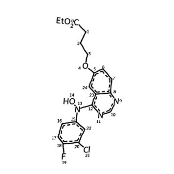 CCOC(=O)CCCOc1ccc2ncnc(N(O)c3ccc(F)c(Cl)c3)c2c1